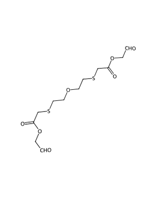 O=CCOC(=O)CSCCOCCSCC(=O)OCC=O